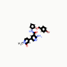 Cn1ccc(-c2cnc(N)c(C(=O)N[C@H]3CCC[C@@H]3OCc3ccc(Br)cc3)c2)cc1=O